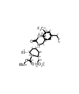 CC[C@@H]1C[C@H](N(Cc2cc(CF)cc(C(F)(F)F)c2)C(=O)OC)C[C@H](CC(=O)O)N1C(=O)OC(C)(C)C